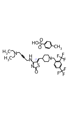 CCN(CC)CC#CCNC1=NC(=O)S/C1=C\C1CCN(Cc2ccc(C(F)(F)F)cc2C(F)(F)F)CC1.Cc1ccc(S(=O)(=O)O)cc1